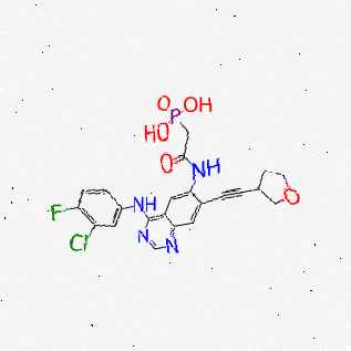 O=C(CP(=O)(O)O)Nc1cc2c(Nc3ccc(F)c(Cl)c3)ncnc2cc1C#CC1CCOC1